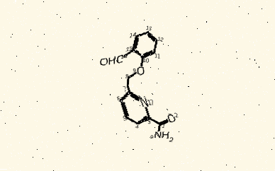 NC(=O)c1cccc(COc2ccccc2C=O)n1